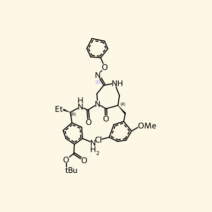 CC[C@@H](NC(=O)N1C/C(=N/Oc2ccccc2)NC[C@@H](Cc2cc(Cl)ccc2OC)C1=O)c1ccc(C(=O)OC(C)(C)C)c(N)c1